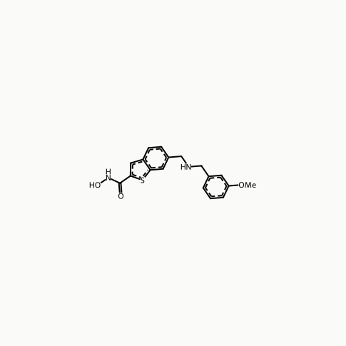 COc1cccc(CNCc2ccc3cc(C(=O)NO)sc3c2)c1